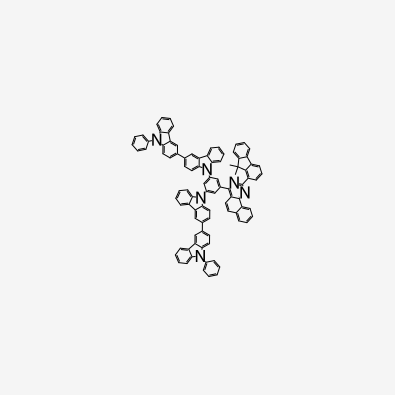 CC1(C)c2ccccc2-c2cccc(-c3nc(-c4cc(-n5c6ccccc6c6cc(-c7ccc8c(c7)c7ccccc7n8-c7ccccc7)ccc65)cc(-n5c6ccccc6c6cc(-c7ccc8c(c7)c7ccccc7n8-c7ccccc7)ccc65)c4)c4ccc5ccccc5c4n3)c21